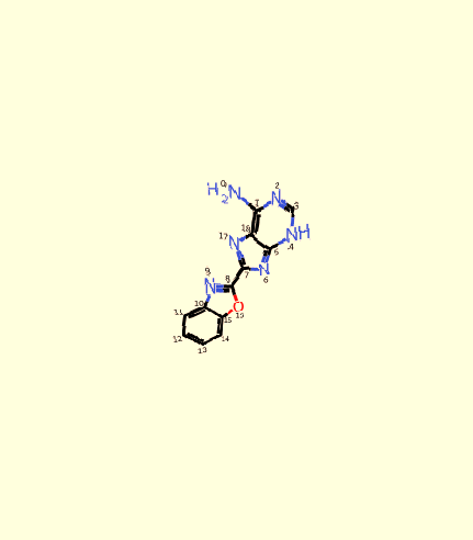 Nc1nc[nH]c2nc(-c3nc4ccccc4o3)nc1-2